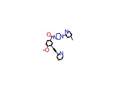 COc1ccc(C(=O)N2CCN(c3cc(C)ccn3)CC2)cc1C#Cc1ccccn1